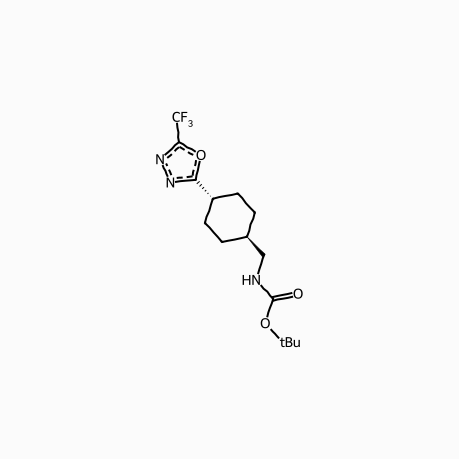 CC(C)(C)OC(=O)NC[C@H]1CC[C@H](c2nnc(C(F)(F)F)o2)CC1